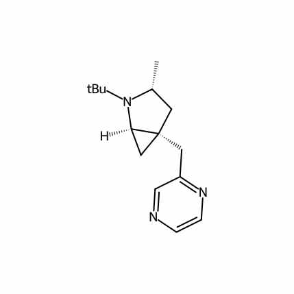 C[C@@H]1C[C@@]2(Cc3cnccn3)C[C@H]2N1C(C)(C)C